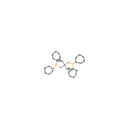 CCCCC(CCCC)(CP(c1ccccc1)c1ccccc1)CP(c1ccccc1)c1ccccc1